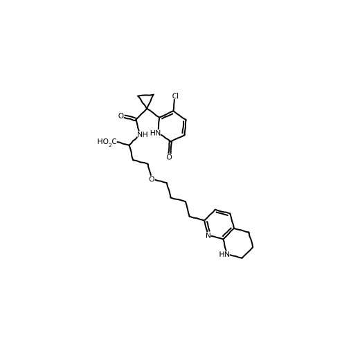 O=C(O)C(CCOCCCCc1ccc2c(n1)NCCC2)NC(=O)C1(c2[nH]c(=O)ccc2Cl)CC1